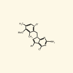 COc1c(C)c[n+]([O-])c(Cn2cc(C(C)C)c3c(Cl)nc(N)nc32)c1C